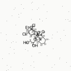 CCOCCN1C[C@H](C(O)CO)C2CCCC(C1=O)N2S(=O)(=O)c1cc(Cl)cc(Cl)c1